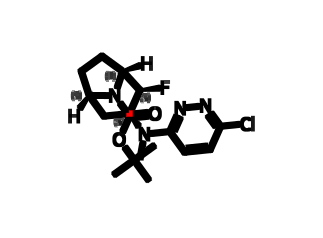 CN(c1ccc(Cl)nn1)[C@H]1C[C@@H]2CC[C@H]([C@H]1F)N2C(=O)OC(C)(C)C